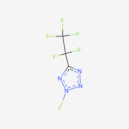 Fn1nnc(C(F)(F)C(F)(F)F)n1